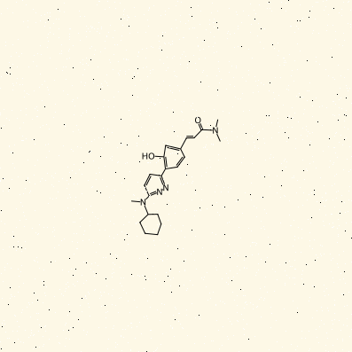 CN(C)C(=O)/C=C/c1ccc(-c2ccc(N(C)C3CCCCC3)nn2)c(O)c1